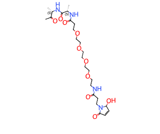 CC(=O)[C@H](C)NC(=O)[C@H](C)NC(=O)CCOCCOCCOCCOCCNC(=O)CCN1C(=O)C=CC1O